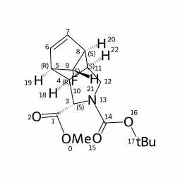 COC(=O)[C@@H]1[C@H]2[C@H]3C=C[C@H]([C@@H]3F)[C@H]2CN1C(=O)OC(C)(C)C